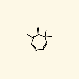 C=C1N(C)C=NC=CC1(C)C